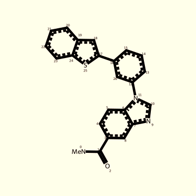 CNC(=O)c1ccc2c(c1)ncn2-c1cccc(-c2cc3ccccc3s2)c1